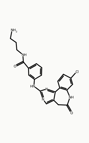 NCCCNC(=O)c1cccc(Nc2ncc3c(n2)-c2ccc(Cl)cc2NC(=O)C3)c1